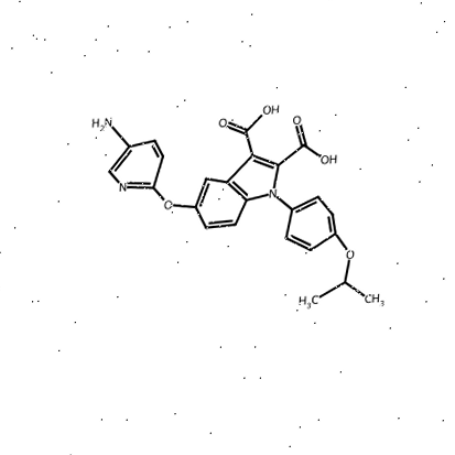 CC(C)Oc1ccc(-n2c(C(=O)O)c(C(=O)O)c3cc(Oc4ccc(N)cn4)ccc32)cc1